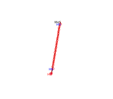 CSCCC(=O)NCCOCCOCCOCCOCCOCCOCCOCCOCCOCCOCCOCCOCCOCCOCCOCCOCCOCCOCCOCCOCCOCCOCCOCCOCCC(=O)NCCCCCCOP(C)(=O)O